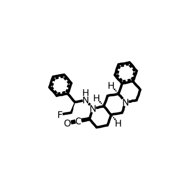 O=C=C1CC[C@@H]2CN3CCc4ccccc4[C@@H]3C[C@@H]2N1N[C@@H](CF)c1ccccc1